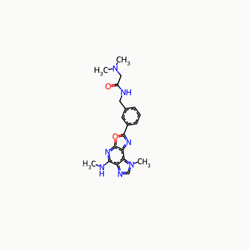 CNc1nc2oc(-c3cccc(CNC(=O)CN(C)C)c3)nc2c2c1ncn2C